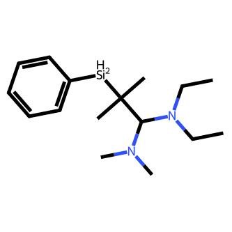 CCN(CC)C(N(C)C)C(C)(C)[SiH2]c1ccccc1